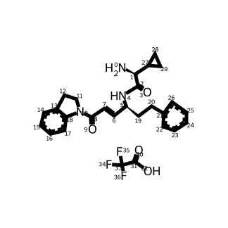 N[C@H](C(=O)N[C@H](/C=C/C(=O)N1CCc2ccccc21)CCc1ccccc1)C1CC1.O=C(O)C(F)(F)F